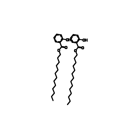 CCCCCCCCCCCCCCOC(=O)c1ccccc1O.CCCCCCCCCCCCCOC(=O)c1ccccc1O